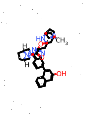 CN1CCC[C@H]1COc1nc(N2[C@@H]3CC[C@H]2CN(C(=O)CCC2CCCCN2)C3)c2ccc(-c3cc(O)cc4ccccc34)cc2n1